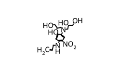 C=CCNc1ccc(N(CC(O)CO)CC(O)CO)cc1[N+](=O)[O-]